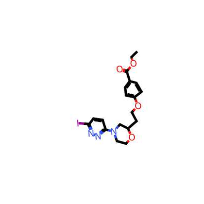 CCOC(=O)c1ccc(OCCC2CN(c3ccc(I)nn3)CCO2)cc1